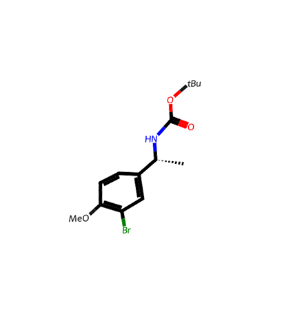 COc1ccc([C@@H](C)NC(=O)OC(C)(C)C)cc1Br